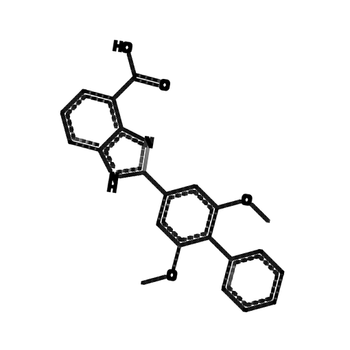 COc1cc(-c2nc3c(C(=O)O)cccc3[nH]2)cc(OC)c1-c1ccccc1